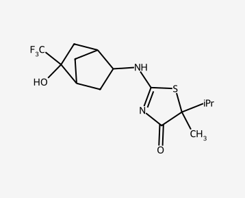 CC(C)C1(C)SC(NC2CC3CC2CC3(O)C(F)(F)F)=NC1=O